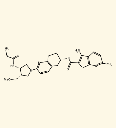 COC[C@H]1CN(c2ccc3c(n2)CC[C@H](NC(=O)c2sc4nc(C)ccc4c2N)C3)C[C@H]1NC(=O)OC(C)(C)C